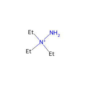 CC[N+](N)(CC)CC